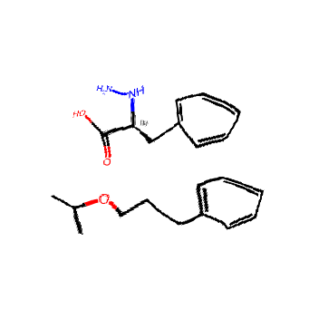 CC(C)OCCCc1ccccc1.NN[C@@H](Cc1ccccc1)C(=O)O